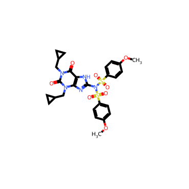 COc1ccc(S(=O)(=O)N(c2nc3c([nH]2)c(=O)n(CC2CC2)c(=O)n3CC2CC2)S(=O)(=O)c2ccc(OC)cc2)cc1